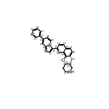 F[C@H]1CNCC[C@@H]1Oc1cccc2ccc(-c3cnc4cc(-c5cccnc5)ccn34)nc12